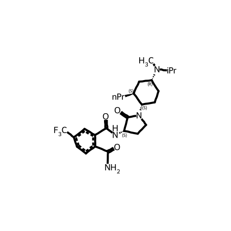 CCC[C@H]1C[C@H](N(C)C(C)C)CC[C@@H]1N1CC[C@H](NC(=O)c2cc(C(F)(F)F)ccc2C(N)=O)C1=O